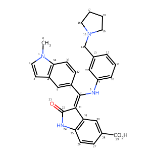 Cn1ccc2cc(C(Nc3cccc(CN4CCCC4)c3)=C3C(=O)Nc4ccc(C(=O)O)cc43)ccc21